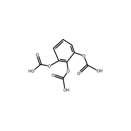 O=C(O)Oc1cccc(OC(=O)O)c1OC(=O)O